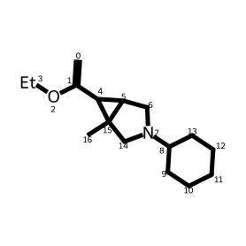 C=C(OCC)C1C2CN(C3CCCCC3)CC21C